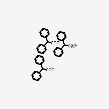 O=C([O-])C(c1ccccc1)c1ccccc1.O=C([O-])C(c1ccccc1)c1ccccc1.O=C([O-])C(c1ccccc1)c1ccccc1.[Al+3]